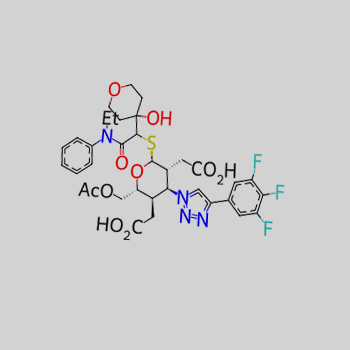 CCN(C(=O)C(S[C@@H]1O[C@@H](COC(C)=O)[C@H](CC(=O)O)[C@H](n2cc(-c3cc(F)c(F)c(F)c3)nn2)[C@H]1CC(=O)O)C1(O)CCOCC1)c1ccccc1